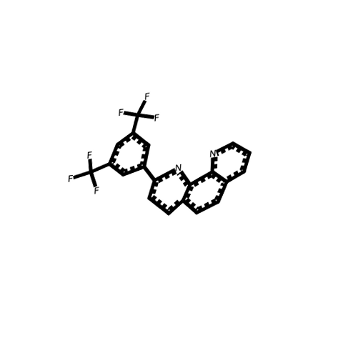 FC(F)(F)c1cc(-c2ccc3ccc4cccnc4c3n2)cc(C(F)(F)F)c1